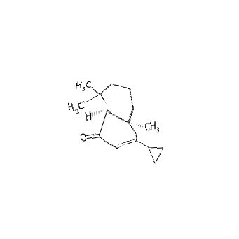 CC1(C)CCC[C@@]2(C)C(C3CC3)=CC(=O)[C@@H]12